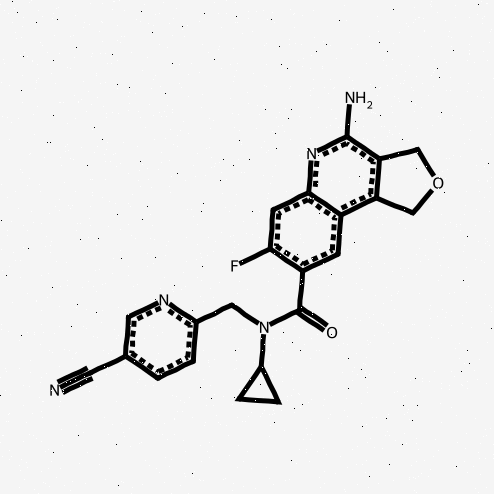 N#Cc1ccc(CN(C(=O)c2cc3c4c(c(N)nc3cc2F)COC4)C2CC2)nc1